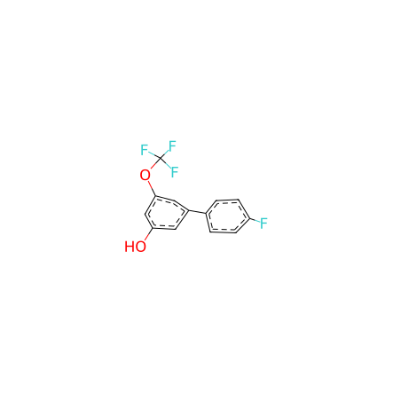 Oc1cc(OC(F)(F)F)cc(-c2ccc(F)cc2)c1